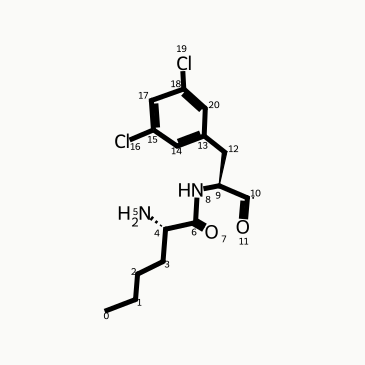 CCCC[C@H](N)C(=O)N[C@H]([C]=O)Cc1cc(Cl)cc(Cl)c1